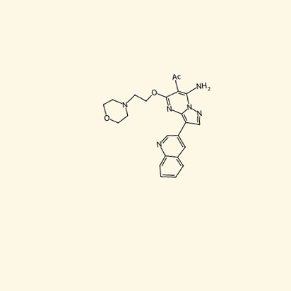 CC(=O)c1c(OCCN2CCOCC2)nc2c(-c3cnc4ccccc4c3)cnn2c1N